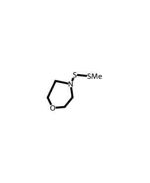 [CH2]SSN1CCOCC1